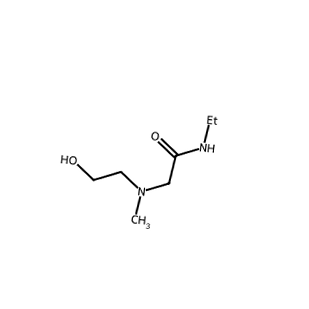 CCNC(=O)CN(C)CCO